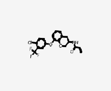 C=CC(=O)NC1COc2c(cccc2Oc2ccc(Cl)c(C(F)(F)F)c2)C1